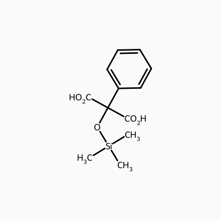 C[Si](C)(C)OC(C(=O)O)(C(=O)O)c1ccccc1